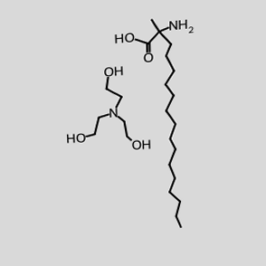 CCCCCCCCCCCCCCCC(C)(N)C(=O)O.OCCN(CCO)CCO